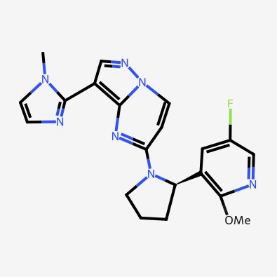 COc1ncc(F)cc1[C@H]1CCCN1c1ccn2ncc(-c3nccn3C)c2n1